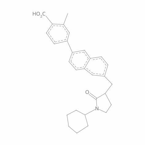 Cc1cc(-c2ccc3cc(CC4CCN(C5CCCCC5)C4=O)ccc3c2)ccc1C(=O)O